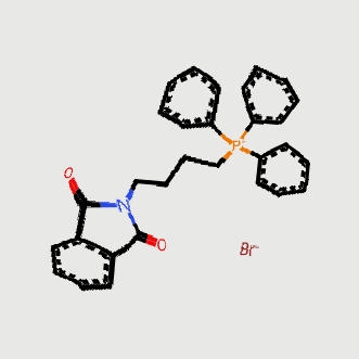 O=C1c2ccccc2C(=O)N1CCCC[P+](c1ccccc1)(c1ccccc1)c1ccccc1.[Br-]